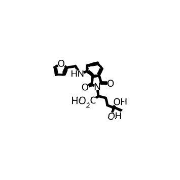 CC(O)(O)CCC(C(=O)O)N1C(=O)c2cccc(NCc3ccco3)c2C1=O